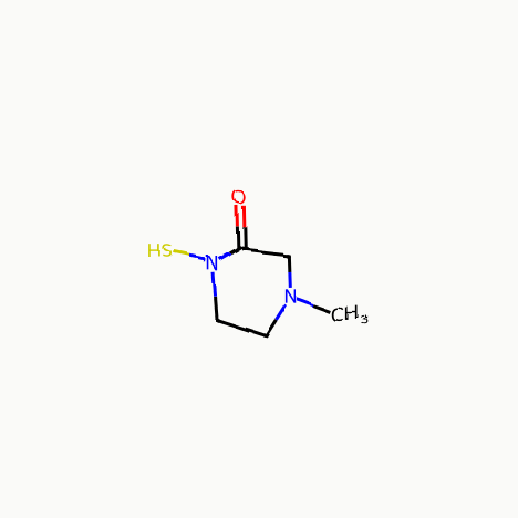 CN1CCN(S)C(=O)C1